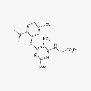 CCOC(=O)CNc1nc(SC)nc(Oc2cc(C#N)ccc2N(C)C)c1[N+](=O)[O-]